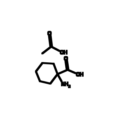 CC(=O)O.NC1(C(=O)O)CCCCC1